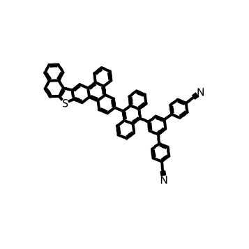 N#Cc1ccc(-c2cc(-c3ccc(C#N)cc3)cc(-c3c4ccccc4c(-c4ccc5c(c4)c4ccccc4c4cc6c(cc54)sc4ccc5ccccc5c46)c4ccccc34)c2)cc1